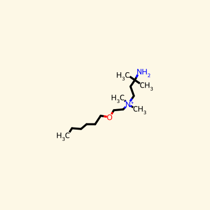 CCCCCCOCC[N+](C)(C)CCC(C)(C)N